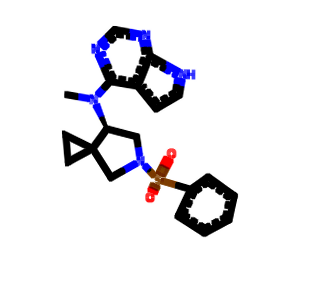 CN(c1ncnc2[nH]ccc12)[C@H]1CN(S(=O)(=O)c2ccccc2)CC12CC2